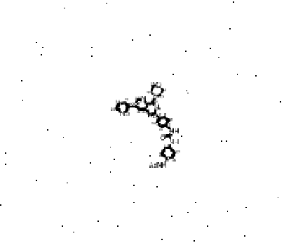 CC(=O)Nc1ccc(NC(=O)Nc2ccc(-c3nc(N4CCOCC4)c4ncc(-c5cccnc5)cc4n3)cc2)cc1